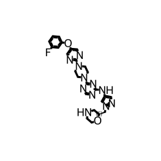 Fc1cccc(Oc2cnc(N3CCN(c4ncnc(Nc5cnn(C[C@@H]6CNCCO6)c5)n4)CC3)nc2)c1